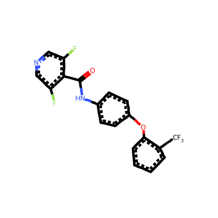 O=C(Nc1ccc(Oc2ccccc2C(F)(F)F)cc1)c1c(F)cncc1F